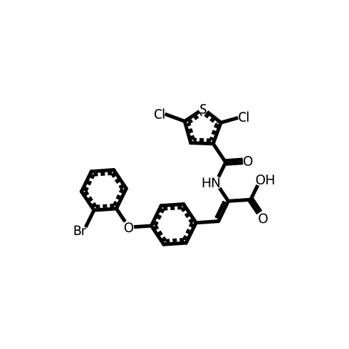 O=C(O)/C(=C/c1ccc(Oc2ccccc2Br)cc1)NC(=O)c1cc(Cl)sc1Cl